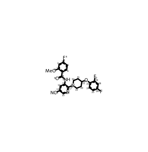 COc1cc(F)ccc1C(=O)Nc1cc(C#N)cnc1N1CCC(Oc2ccc(F)cc2F)CC1